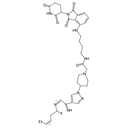 CC/C=C\CC(F)/N=C\C(=N)c1cnn(C2CCN(CC(=O)NCCCCNc3cccc4c3C(=O)N(C3CCC(=O)NC3=O)C4=O)CC2)c1